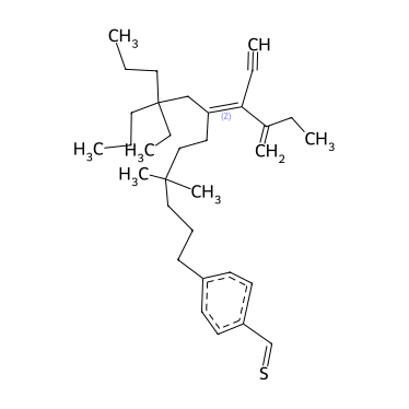 C#C/C(C(=C)CC)=C(/CCC(C)(C)CCCc1ccc(C=S)cc1)CC(CC)(CCC)CCC